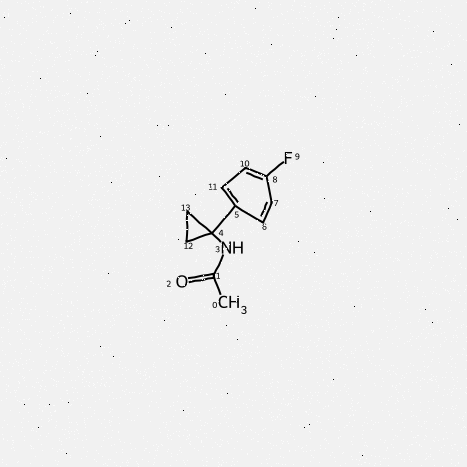 CC(=O)NC1(c2ccc(F)cc2)CC1